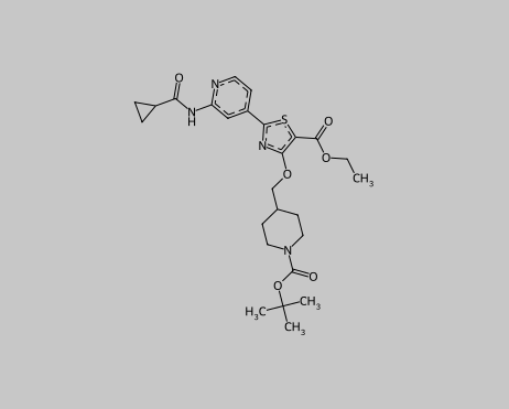 CCOC(=O)c1sc(-c2ccnc(NC(=O)C3CC3)c2)nc1OCC1CCN(C(=O)OC(C)(C)C)CC1